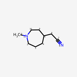 CN1CCCC(CC#N)CC1